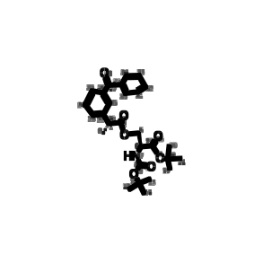 C[C@@H](C(=O)OC[C@H](NC(=O)OC(C)(C)C)C(=O)OC(C)(C)C)c1cccc(C(=O)c2ccccc2)c1